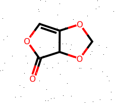 O=C1OC=C2OCOC12